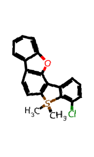 CS1(C)c2ccc3c(oc4ccccc43)c2-c2cccc(Cl)c21